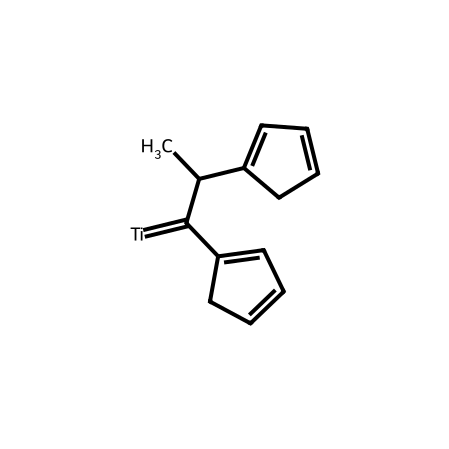 CC([C](=[Ti])C1=CC=CC1)C1=CC=CC1